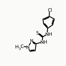 Cn1ccc(NC(=S)Nc2ccc(Cl)cc2)n1